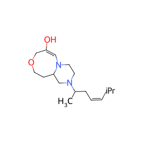 CC(C)/C=C\CC(C)N1CCN2/C=C(/O)COCCC2C1